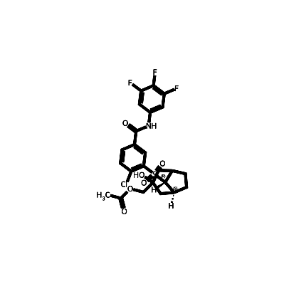 CC(=O)OCC1(O)CC2CC[C@@H](C1)[C@@H]2S(=O)(=O)c1cc(C(=O)Nc2cc(F)c(F)c(F)c2)ccc1Cl